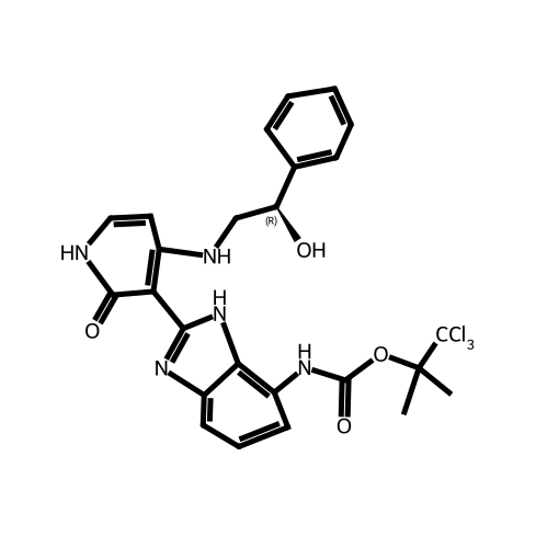 CC(C)(OC(=O)Nc1cccc2nc(-c3c(NC[C@H](O)c4ccccc4)cc[nH]c3=O)[nH]c12)C(Cl)(Cl)Cl